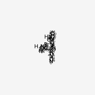 CN1CCC(N2CCN(C(=O)[C@H](CC(=O)N3CCC(N4CCc5ccccc5NC4=O)CC3)Cc3cc(Br)c(N)c(C(F)(F)F)c3)CC2)CC1